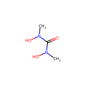 CN(O)C(=O)N(C)O